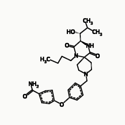 CCCCN1C(=O)[C@@H]([C@H](O)C(C)C)NC(=O)C12CCN(Cc1ccc(Oc3ccc(C(N)=O)cc3)cc1)CC2